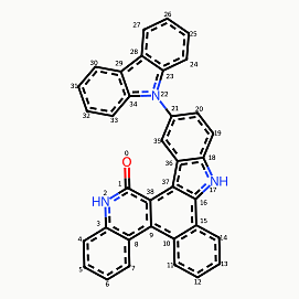 O=c1[nH]c2ccccc2c2c3ccccc3c3[nH]c4ccc(-n5c6ccccc6c6ccccc65)cc4c3c12